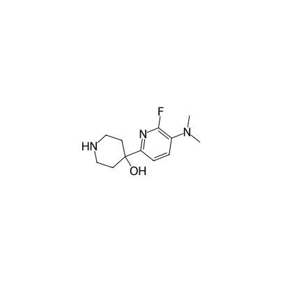 CN(C)c1ccc(C2(O)CCNCC2)nc1F